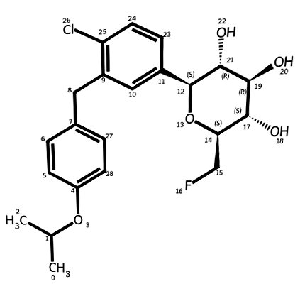 CC(C)Oc1ccc(Cc2cc([C@@H]3O[C@H](CF)[C@@H](O)[C@H](O)[C@H]3O)ccc2Cl)cc1